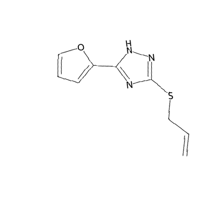 C=CCSc1n[nH]c(-c2ccco2)n1